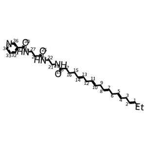 CCC=CCC=CCC=CCC=CCC=CCCCC(=O)NCCNC(=O)CCNC(=O)c1cccnc1